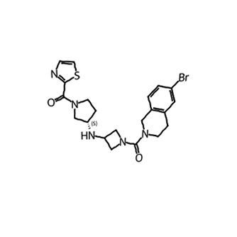 O=C(c1nccs1)N1CC[C@H](NC2CN(C(=O)N3CCc4cc(Br)ccc4C3)C2)C1